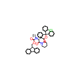 CCN(C(=O)OCC1c2ccccc2-c2ccccc21)[C@@H](CC(=O)OC(c1ccccc1)(c1ccccc1)c1ccccc1Cl)C(=O)N1CCCCC1